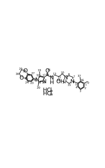 Cc1cccc(N2CCN(C[C@H](O)CNC(=O)c3nc(C)n(-c4ccc5c(c4)OCCO5)c3C)CC2)c1C.Cl.Cl